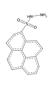 NNS(=O)(=O)c1ccc2ccc3cccc4ccc1c2c34